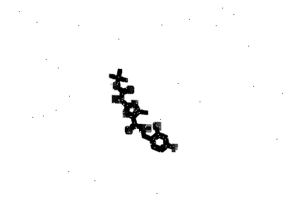 Cc1nc(NC(=O)OC(C)(C)C)sc1C(=O)NCc1ccc(F)cc1Cl